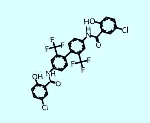 O=C(Nc1ccc(-c2ccc(NC(=O)c3cc(Cl)ccc3O)cc2C(F)(F)F)c(C(F)(F)F)c1)c1cc(Cl)ccc1O